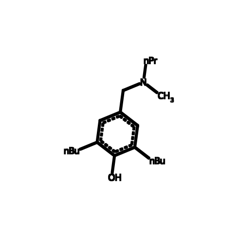 CCCCc1cc(CN(C)CCC)cc(CCCC)c1O